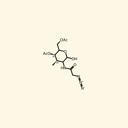 CC(=O)OCC1OC(O)C(NC(=O)CN=[N+]=[N-])[C@@H](C)[C@H]1OC(C)=O